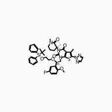 COc1ccc(F)cc1[C@H](Cn1c(=O)n([C@@]2(C)CCCN(C)C2=O)c(=O)c2c(C)c(-n3nccn3)sc21)OCCO[Si](c1ccccc1)(c1ccccc1)C(C)(C)C